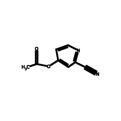 CC(=O)Oc1ccnc(C#N)c1